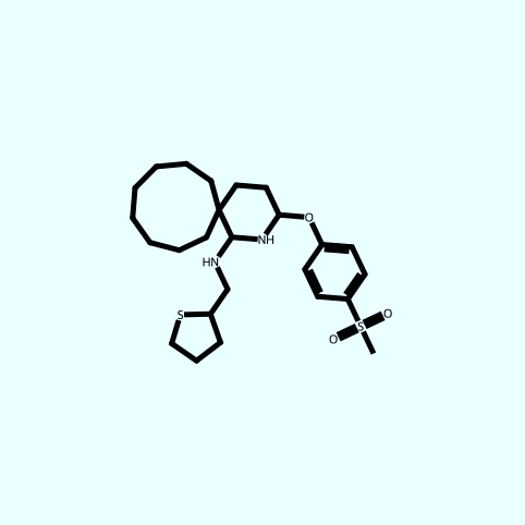 CS(=O)(=O)c1ccc(OC2CCC3(CCCCCCCC3)C(NCC3CCCS3)N2)cc1